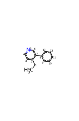 CCc1ccncc1-c1ccccc1